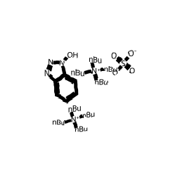 CCCC[N+](CCCC)(CCCC)CCCC.CCCC[N+](CCCC)(CCCC)CCCC.O=S(=O)([O-])[O-].On1nnc2ccccc21